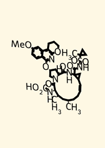 COc1ccc2c(O[C@@H]3C[C@H]4C(=O)NC5(C(=O)NS(=O)(=O)C6(C)CC6)CC5/C=C\CC[C@H](C)C[C@@H](C)[C@H](NC(=O)O)C(=O)N4C3)nc3c(c2c1)CCCO3